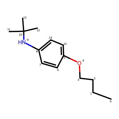 CCCCOc1ccc(NC(C)(C)C)cc1